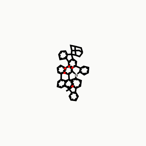 CC1(C)c2ccccc2-c2ccc(N(c3ccccc3-c3ccc4c(c3)C3(c5ccccc5-4)C4CC5CC6CC3C64C5)c3ccccc3-c3cccc4cccc(-c5ccccc5)c34)cc21